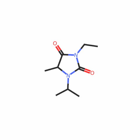 CCN1C(=O)C(C)N(C(C)C)C1=O